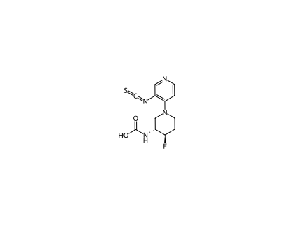 O=C(O)N[C@@H]1CN(c2ccncc2N=C=S)CC[C@H]1F